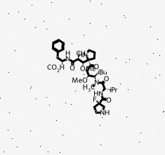 CC[C@H](C)[C@@H]([C@@H](CC(=O)[C@@]1([C@H](OC)[C@@H](C)C(=O)N[C@@H](Cc2ccccc2)C(=O)O)CCCN1)OC)N(C)C(=O)[C@@H](NC(=O)[C@@]1(F)CCNC1)C(C)C